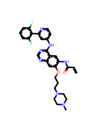 C=CC(=O)Nc1cc2c(Nc3ccnc(-c4c(F)cccc4F)c3)ncnc2cc1OCCCN1CCN(C)CC1